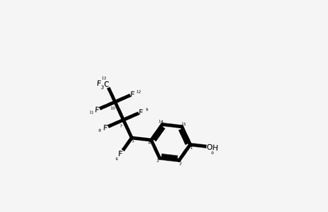 Oc1ccc(C(F)C(F)(F)C(F)(F)C(F)(F)F)cc1